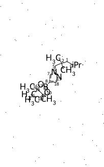 C[C](C)CC(C)(C)Cn1cc(B2OC(C)(C)C(C)(C)O2)cn1